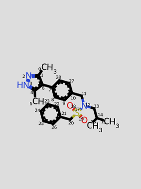 Cc1n[nH]c(C)c1-c1ccc(CN(CC(C)C)S(=O)(=O)Cc2ccccc2)cc1